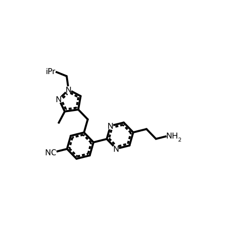 Cc1nn(CC(C)C)cc1Cc1cc(C#N)ccc1-c1ncc(CCN)cn1